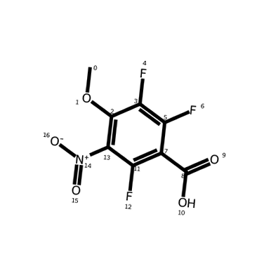 COc1c(F)c(F)c(C(=O)O)c(F)c1[N+](=O)[O-]